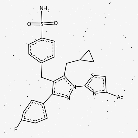 CC(=O)c1csc(-n2nc(-c3ccc(F)cc3)c(Cc3ccc(S(N)(=O)=O)cc3)c2CC2CC2)n1